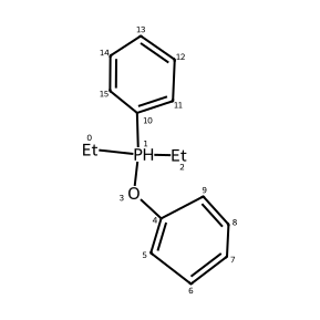 CC[PH](CC)(Oc1ccccc1)c1ccccc1